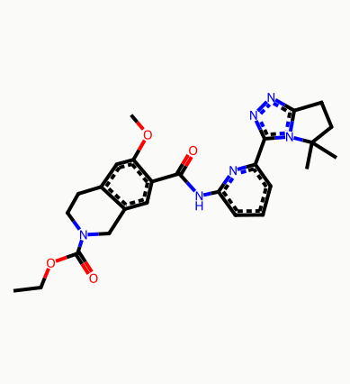 CCOC(=O)N1CCc2cc(OC)c(C(=O)Nc3cccc(-c4nnc5n4C(C)(C)CC5)n3)cc2C1